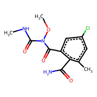 CNC(=O)N(OC)C(=O)c1cc(Cl)cc(C)c1C(N)=O